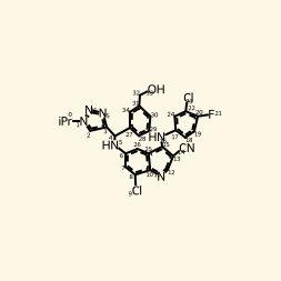 CC(C)n1cc(C(Nc2cc(Cl)c3ncc(C#N)c(Nc4ccc(F)c(Cl)c4)c3c2)c2cccc(CO)c2)nn1